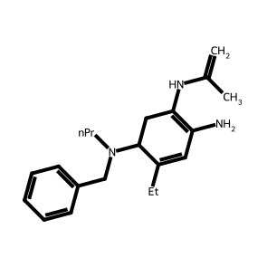 C=C(C)NC1=C(N)C=C(CC)C(N(CCC)Cc2ccccc2)C1